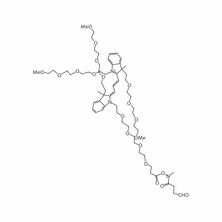 COCCOCCOCCOCC[N+]1=C(/C=C/C=C2/N(CCOCCOCCOCCOCCC(=O)ON(C)C(=O)CCC=O)c3ccccc3C2(C)CCOCCOCCOCCOC)C(C)(CCOCCOCCOCCOC)c2ccccc21